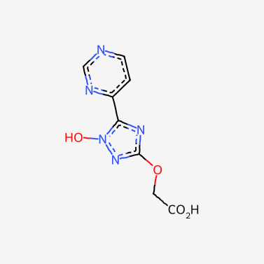 O=C(O)COc1nc(-c2ccncn2)n(O)n1